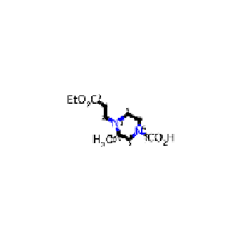 CCOC(=O)CCN1CCN(C(=O)O)C[C@@H]1C